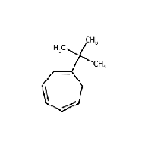 CC(C)(C)C1=CC=CC=CC1